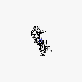 CC(C)Oc1c(C#N)cnc2ccc(/C=C3/NC(NCc4ccccc4C(F)(F)F)=NC3=O)nc12